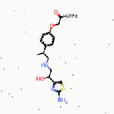 COC(=O)COc1ccc(C(C)CNCC(O)c2csc(N)n2)cc1